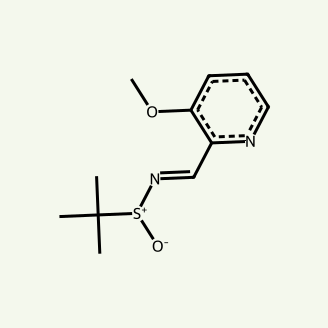 COc1cccnc1C=N[S+]([O-])C(C)(C)C